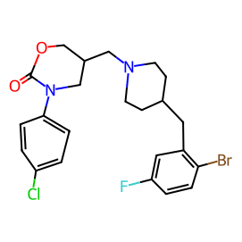 O=C1OCC(CN2CCC(Cc3cc(F)ccc3Br)CC2)CN1c1ccc(Cl)cc1